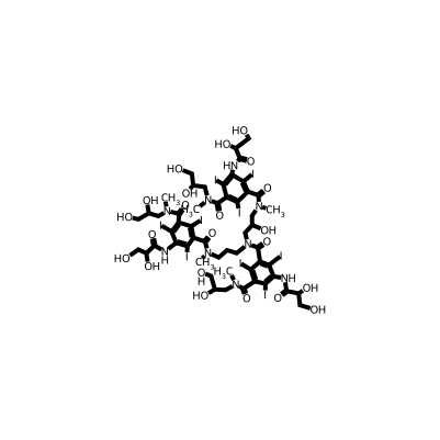 CN(CCCN(CC(O)CN(C)C(=O)c1c(I)c(NC(=O)C(O)CO)c(I)c(C(=O)N(C)CC(O)CO)c1I)C(=O)c1c(I)c(NC(=O)C(O)CO)c(I)c(C(=O)N(C)CC(O)CO)c1I)C(=O)c1c(I)c(NC(=O)C(O)CO)c(I)c(C(=O)N(C)CC(O)CO)c1I